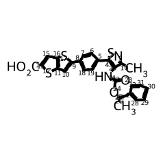 Cc1nsc(-c2ccc(-c3cc4sc(C(=O)O)cc4s3)cc2)c1NC(=O)O[C@H](C)c1ccccc1